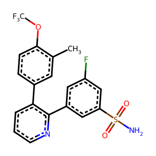 Cc1cc(-c2cccnc2-c2cc(F)cc(S(N)(=O)=O)c2)ccc1OC(F)(F)F